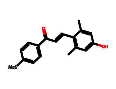 CSc1ccc(C(=O)/C=C/c2c(C)cc(O)cc2C)cc1